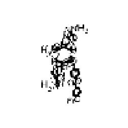 B[P@@]1(=O)C[C@H]2[C@@H](F)[C@H](n3cnc4c(N)ncnc43)O[C@@H]2COP(=O)(SCc2ccc(OC(=O)c3ccc(OCC)cc3)cc2)O[C@H]2[C@@H](F)[C@H](n3cnc4c(N)ncnc43)O[C@@H]2CO1